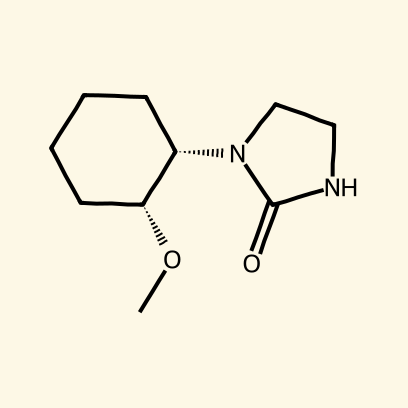 CO[C@@H]1CCCC[C@@H]1N1CCNC1=O